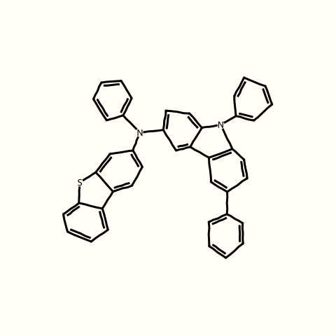 c1ccc(-c2ccc3c(c2)c2cc(N(c4ccccc4)c4ccc5c(c4)sc4ccccc45)ccc2n3-c2ccccc2)cc1